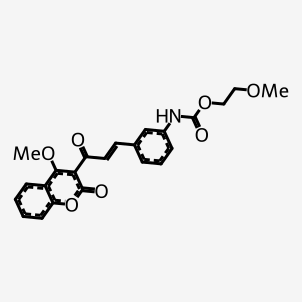 COCCOC(=O)Nc1cccc(/C=C/C(=O)c2c(OC)c3ccccc3oc2=O)c1